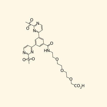 CS(=O)(=O)c1nccc(-c2cc(C(=O)NCCOCCOCCOCC(=O)O)cc(-c3ccnc(S(C)(=O)=O)n3)c2)n1